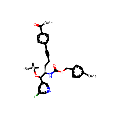 COC(=O)c1ccc(C#CCC[C@@H](NC(=O)OCc2ccc(OC)cc2)C(O[Si](C)(C)C(C)(C)C)c2cncc(F)c2)cc1